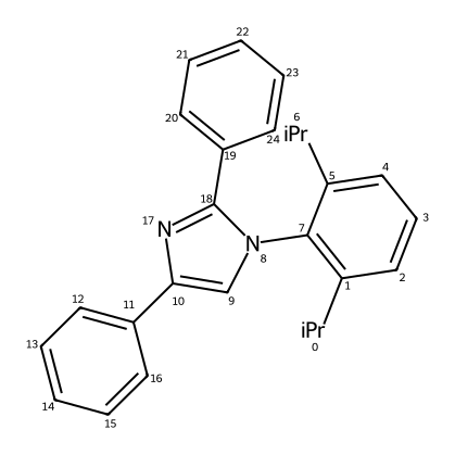 CC(C)c1cccc(C(C)C)c1-n1cc(-c2ccccc2)nc1-c1ccccc1